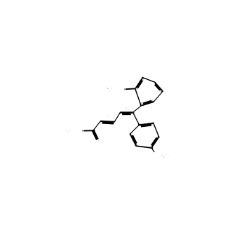 COC(=O)/C=C/C=C(\c1ccc(OC)cc1)c1ccccc1OC